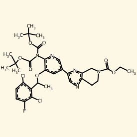 CCOC(=O)N1CCc2ncc(-c3cnc(N(C(=O)OC(C)(C)C)C(=O)OC(C)(C)C)c(OC(C)c4c(Cl)ccc(F)c4Cl)c3)nc2C1